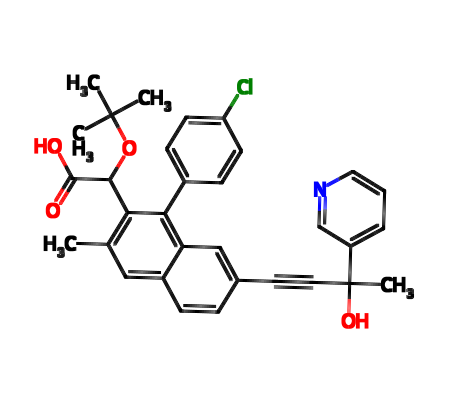 Cc1cc2ccc(C#CC(C)(O)c3cccnc3)cc2c(-c2ccc(Cl)cc2)c1C(OC(C)(C)C)C(=O)O